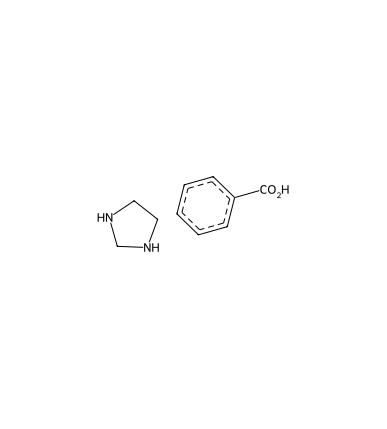 C1CNCN1.O=C(O)c1ccccc1